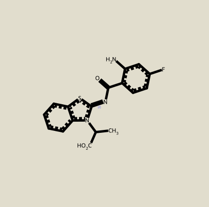 CC(C(=O)O)n1/c(=N/C(=O)c2ccc(F)cc2N)sc2ccccc21